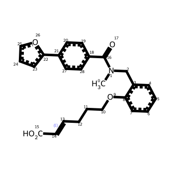 CN(Cc1ccccc1OCCC/C=C/C(=O)O)C(=O)c1ccc(-c2ccco2)cc1